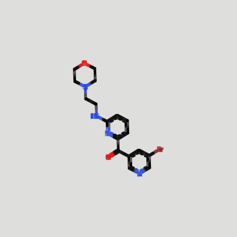 O=C(c1cncc(Br)c1)c1cccc(NCCN2CCOCC2)n1